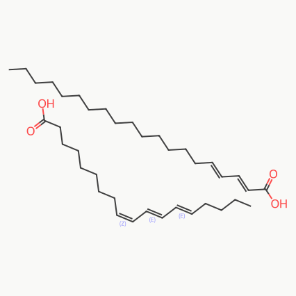 CCCC/C=C/C=C/C=C\CCCCCCCC(=O)O.CCCCCCCCCCCCCCCC=CC=CC(=O)O